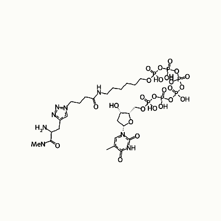 CNC(=O)C(N)Cc1cn(CCCC(=O)NCCCCCCOP(=O)(O)OP(=O)(O)OP(=O)(O)OP(=O)(O)OP(=O)(O)OP(=O)(O)OC[C@@H]2O[C@H](n3cc(C)c(=O)[nH]c3=O)C[C@@H]2O)nn1